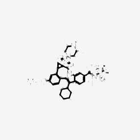 COc1ccc2c(c1)C1CC1(S(=O)(=O)N1C[C@@H](C)N(C)[C@@H](C)C1)Cn1c-2c(C2CCCCC2)c2ccc(C(=O)NS(=O)(=O)N(C)C)cc21